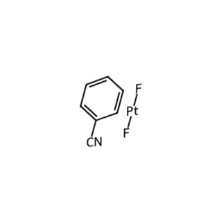 N#Cc1ccccc1.[F][Pt][F]